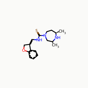 C[C@@H]1CCN(C(=S)N/C=C2/COc3ccccc32)C[C@H](C)N1